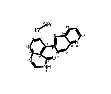 CC(C)S.O=c1[nH]cnc2nccc(-c3ccc4ncccc4c3)c12